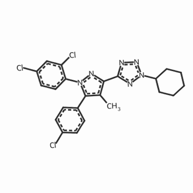 Cc1c(-c2nnn(C3CCCCC3)n2)nn(-c2ccc(Cl)cc2Cl)c1-c1ccc(Cl)cc1